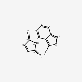 Fc1onc2ccccc12.O=C1C=CC(=O)N1